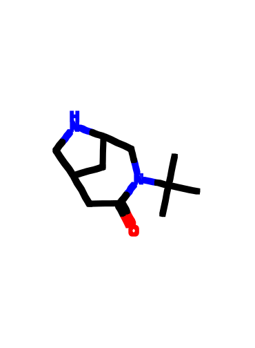 CC(C)(C)N1CC2CC(CN2)CC1=O